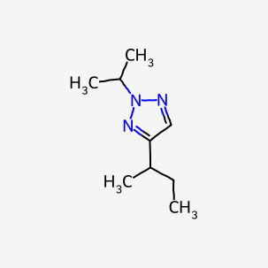 CCC(C)c1cnn(C(C)C)n1